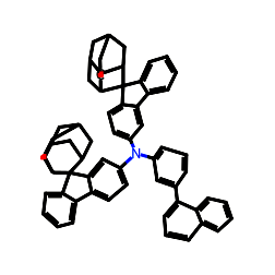 c1cc(-c2cccc3ccccc23)cc(N(c2ccc3c(c2)-c2ccccc2C32C3CCC4CC(C3)CC2C4)c2ccc3c(c2)C2(c4ccccc4-3)C3CCC4CC(C3)CC2C4)c1